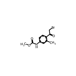 COC(=O)Nc1ccc(C(=O)CBr)c(C)c1